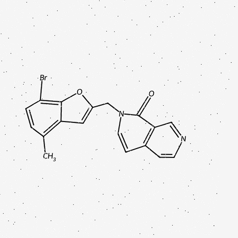 Cc1ccc(Br)c2oc(Cn3ccc4ccncc4c3=O)cc12